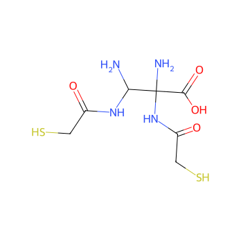 NC(NC(=O)CS)C(N)(NC(=O)CS)C(=O)O